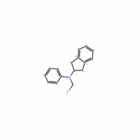 FCN(c1ccccc1)C1Cc2ccccc2C1